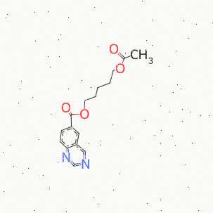 CC(=O)OCCCCCOC(=O)c1ccc2ncncc2c1